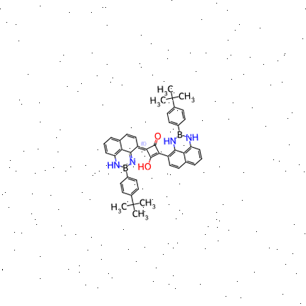 CC(C)(C)c1ccc(B2N=c3/c(=C4/C(=O)C(c5ccc6cccc7c6c5NB(c5ccc(C(C)(C)C)cc5)N7)=C4O)ccc4cccc(c34)N2)cc1